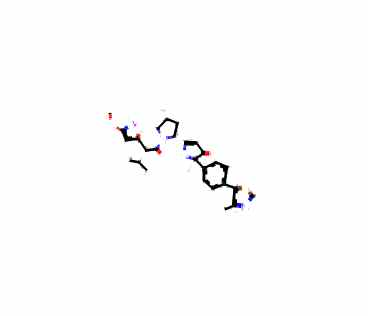 COc1cc([C@@H](C(=O)N2C[C@H](O)C[C@@H]2C2=CC(=O)[C@](C)(c3ccc(-c4scnc4C)cc3)N2)C(C)C)on1